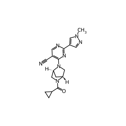 Cn1cc(-c2ncc(C#N)c(N3C[C@H]4C[C@H]3CN4C(=O)C3CC3)n2)cn1